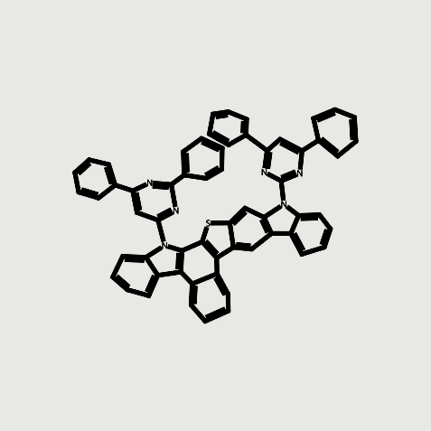 c1ccc(-c2cc(-n3c4ccccc4c4c5ccccc5c5c6cc7c8ccccc8n(-c8nc(-c9ccccc9)cc(-c9ccccc9)n8)c7cc6sc5c43)nc(-c3ccccc3)n2)cc1